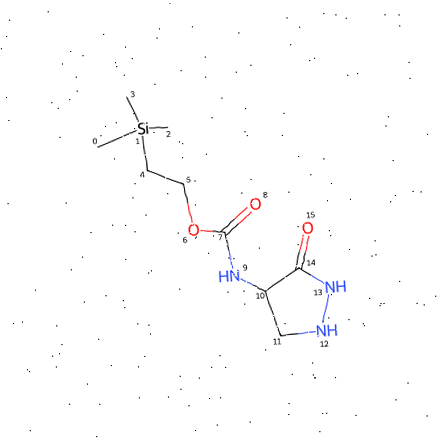 C[Si](C)(C)CCOC(=O)NC1CNNC1=O